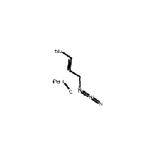 CC(C)(C)C=CCN=[N+]=[N-].CCCCCCl